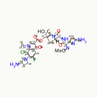 CO/N=C(\C(=O)N[C@@H]1C(=O)N2C(C(=O)O)=C(COC(=O)c3cn(C4CC4)c4c(Cl)c(N5CCC(N)C5)c(F)cc4c3=O)CS[C@H]12)c1csc(N)n1